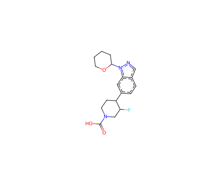 O=C(O)N1CCC(c2ccc3cnn(C4CCCCO4)c3c2)C(F)C1